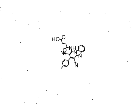 Cc1ccc(-c2c(C#N)c(NC(=O)CCC(=O)O)n3c(nc4ccccc43)c2C#N)cc1